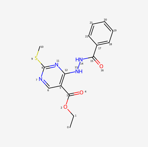 CCOC(=O)c1cnc(SC)nc1NNC(=O)c1ccccc1